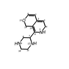 C1=CC2=CCNC(C3CNCCN3)=C2CO1